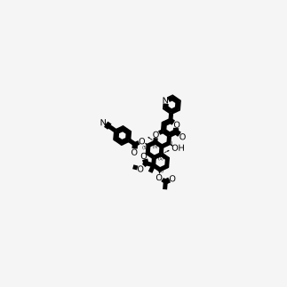 COC(=O)C1(C)C2C[C@H](OC(=O)c3ccc(C#N)cc3)[C@@]3(C)Oc4cc(-c5cccnc5)oc(=O)c4[C@H](O)C3[C@@]2(C)CC[C@@H]1OC(C)=O